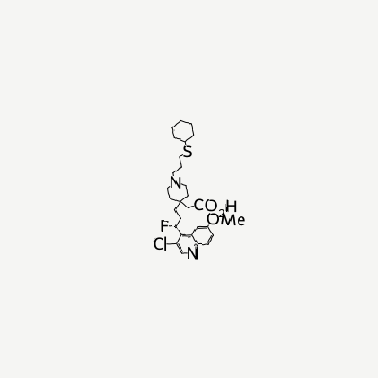 COc1ccc2ncc(Cl)c(C(F)CCC3(CC(=O)O)CCN(CCCSC4CCCCC4)CC3)c2c1